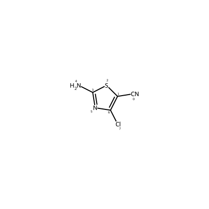 N#Cc1sc(N)nc1Cl